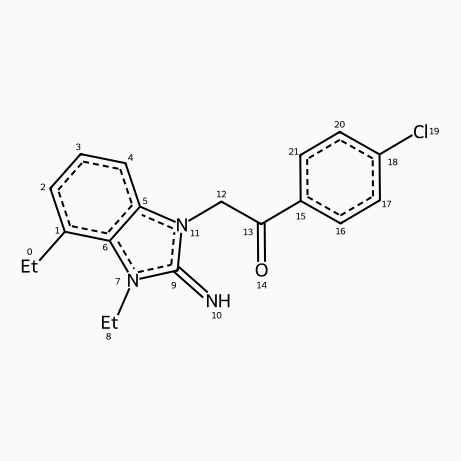 CCc1cccc2c1n(CC)c(=N)n2CC(=O)c1ccc(Cl)cc1